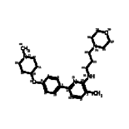 Cc1cnc(-c2ccc(OC3CCN(C)CC3)cc2)nc1NCCCN1CCOCC1